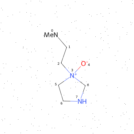 CNCC[N+]1([O-])CCNC1